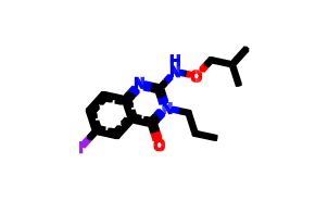 CCCn1c(NOCC(C)C)nc2ccc(I)cc2c1=O